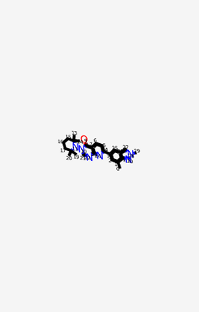 Cc1cc(-c2ccc3c(=O)n(N4C(C)(C)CCCC4(C)C)cnc3n2)cc2cn(C)nc12